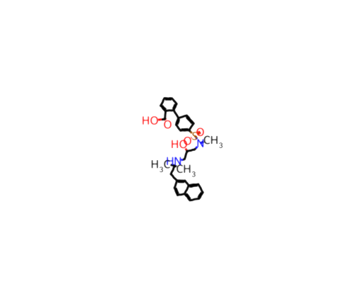 CN(CC(O)CNC(C)(C)Cc1ccc2ccccc2c1)S(=O)(=O)c1ccc(-c2ccccc2C(=O)O)cc1